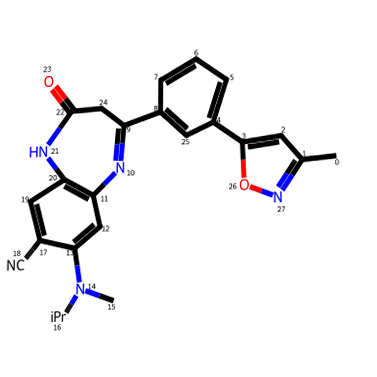 Cc1cc(-c2cccc(C3=Nc4cc(N(C)C(C)C)c(C#N)cc4NC(=O)C3)c2)on1